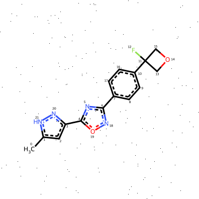 Cc1cc(-c2nc(-c3ccc(C4(F)COC4)cc3)no2)n[nH]1